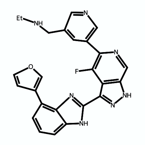 CCNCc1cncc(-c2ncc3[nH]nc(-c4nc5c(-c6ccoc6)cccc5[nH]4)c3c2F)c1